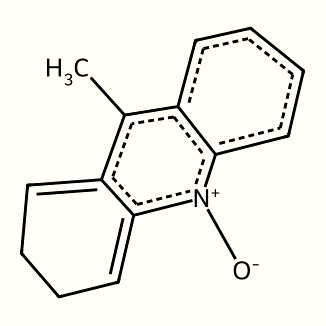 Cc1c2c([n+]([O-])c3ccccc13)=CCCC=2